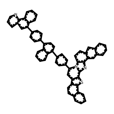 c1ccc2cc3c(ccc4c3nc3c5sc6c7ccccc7ccc6c5cc(-c5ccc(-c6ccc(-c7ccc(-c8cc9cccnc9c9ccccc89)cc7)c7ccccc67)cc5)n43)cc2c1